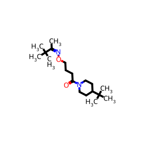 C/C(=N/OCCCC(=O)N1CCC(C(C)(C)C)CC1)C(C)(C)C